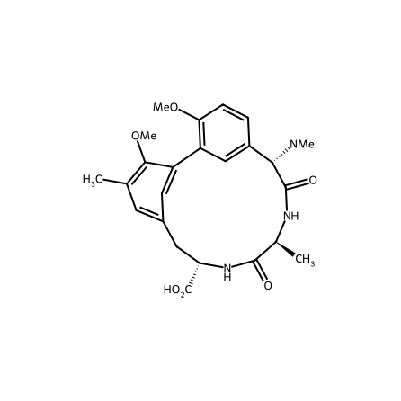 CN[C@@H]1C(=O)N[C@@H](C)C(=O)N[C@H](C(=O)O)Cc2cc(C)c(OC)c(c2)-c2cc1ccc2OC